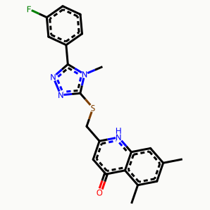 Cc1cc(C)c2c(=O)cc(CSc3nnc(-c4cccc(F)c4)n3C)[nH]c2c1